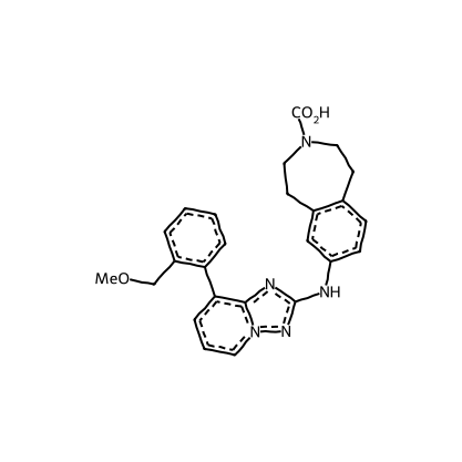 COCc1ccccc1-c1cccn2nc(Nc3ccc4c(c3)CCN(C(=O)O)CC4)nc12